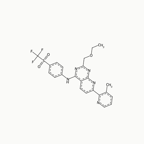 CCOCc1nc(Nc2ccc(S(=O)(=O)C(F)(F)F)cc2)c2ccc(-c3ncccc3C)nc2n1